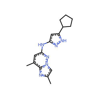 Cc1cn2nc(Nc3cc(C4CCCC4)[nH]n3)cc(C)c2n1